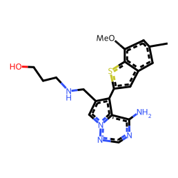 COc1cc(C)cc2cc(-c3c(CNCCCO)cn4ncnc(N)c34)sc12